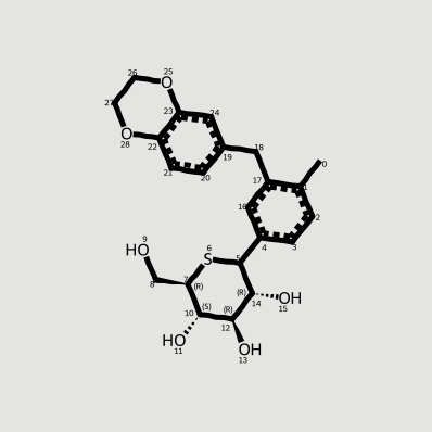 Cc1ccc(C2S[C@H](CO)[C@@H](O)[C@H](O)[C@H]2O)cc1Cc1ccc2c(c1)OCCO2